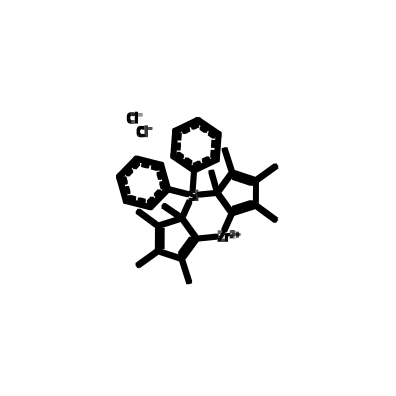 CC1=C(C)C2(C)[C](=C1C)[Zr+2][C]1=C(C)C(C)=C(C)C1(C)[Si]2(c1ccccc1)c1ccccc1.[Cl-].[Cl-]